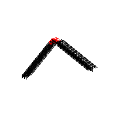 [Hf+4].[Hf+4].[Hf+4].[Hf+4].[Hf+4].[Hf+4].[Hf+4].[Hf+4].[Hf+4].[Hf+4].[Hf+4].[Hf+4].[Hf+4].[Hf+4].[Hf+4].[Hf+4].[Hf+4].[Hf+4].[Hf+4].[Hf+4].[Hf+4].[Hf+4].[Hf+4].[Hf+4].[Hf+4].[Hf+4].[Hf+4].[Hf+4].[Hf+4].[Hf+4].[Hf+4].[Hf+4].[Hf+4].[Hf+4].[Hf+4].[Hf+4].[Hf+4].[Hf+4].[Hf+4].[Hf+4].[Hf+4].[Hf+4].[Hf+4].[Hf+4].[Hf+4].[Hf+4].[Hf+4].[Hf+4].[Hf+4].[Hf+4].[Hf+4].[Hf+4].[Hf+4].[Hf+4].[Hf+4].[Hf+4].[Hf+4].[Hf+4].[Hf+4].[Hf+4].[Hf+4].[Hf+4].[Hf+4].[Hf+4].[Hf+4].[Hf+4].[Hf+4].[Hf+4].[Hf+4].[Hf+4].[Hf+4].[Hf+4].[Hf+4].[Hf+4].[Hf+4].[Hf+4].[Hf+4].[Hf+4].[Hf+4].[Hf+4].[Hf+4].[Hf+4].[Hf+4].[Hf+4].[Hf+4].[Hf+4].[Hf+4].[Hf+4].[Hf+4].[Hf+4].[Hf+4].[Hf+4].[Hf+4].[Hf+4].[O-2].[O-2].[O-2].[O-2].[O-2].[O-2].[O-2].[O-2]